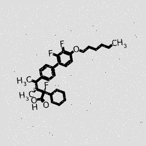 CCCCCCOc1ccc(-c2ccc(C(C)[C@H](C)[C@](F)(C(=O)O)C3CCCCC3)cc2)c(F)c1F